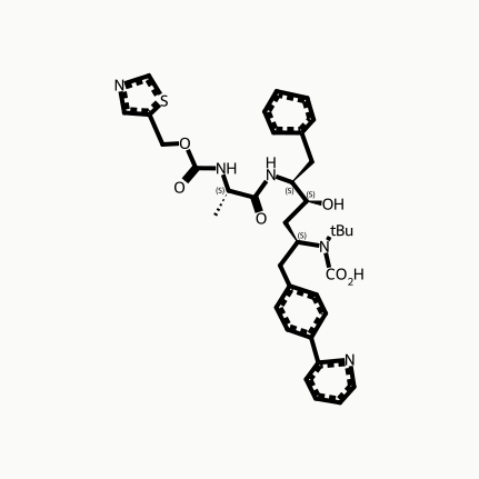 C[C@H](NC(=O)OCc1cncs1)C(=O)N[C@@H](Cc1ccccc1)[C@@H](O)C[C@H](Cc1ccc(-c2ccccn2)cc1)N(C(=O)O)C(C)(C)C